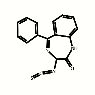 O=C1Nc2ccccc2C(c2ccccc2)=NC1N=C=S